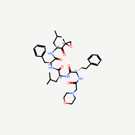 CC(C)C[C@H](NC(=O)[C@H](CCc1ccccc1)NC(=O)CN1CCOCC1)C(=O)N[C@@H](Cc1ccccc1)C(=O)N[C@@H](CC(C)C)C(=O)[C@]1(C)CO1